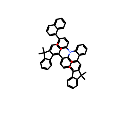 CC1(C)c2ccccc2-c2ccc(-c3ccccc3N(c3ccc(-c4cccc5ccccc45)cc3)c3ccccc3-c3cccc4c3-c3ccccc3C4(C)C)cc21